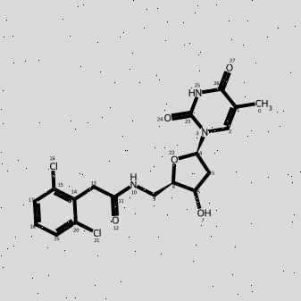 Cc1cn([C@H]2CC(O)[C@@H](CNC(=O)Cc3c(Cl)cccc3Cl)O2)c(=O)[nH]c1=O